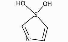 OS1(O)[C]=NC=C1